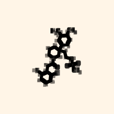 Cc1ccc([C@@]2(CCOS(C)(=O)=O)CCCN(C(=O)Cc3c(F)cccc3Cl)C2)cc1C